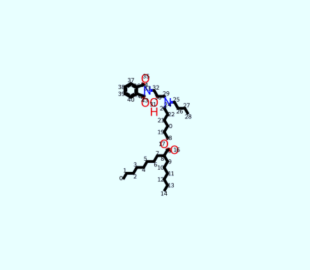 CCCCCCCCC(CCCCCC)C(=O)OCCCCCCN(CCCC)CC(O)CN1C(=O)c2ccccc2C1=O